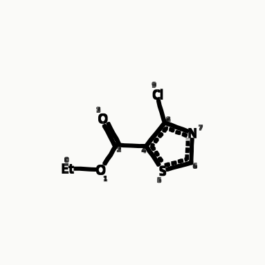 CCOC(=O)c1scnc1Cl